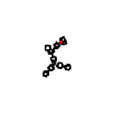 c1ccc(-c2ccc(N(c3ccc(-c4ccccc4)cc3)c3ccc(-c4cc(-c5ccc(C67CC8CC(CC(C8)C6)C7)cc5)c5ccccc5c4)cc3)cc2)cc1